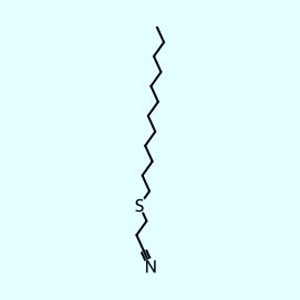 CCCCCCCCCCCCSCCC#N